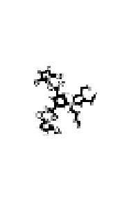 CCC[CH2][Sn]([CH2]CCC)([CH2]CCC)[c]1cc(C(=O)ON2C(=O)CCC2=O)cc(C(=O)ON2C(=O)CCC2=O)c1